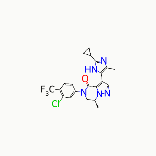 Cc1nc(C2CC2)[nH]c1-c1cnn2c1C(=O)N(c1ccc(C(F)(F)F)c(Cl)c1)C[C@@H]2C